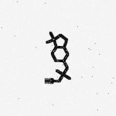 CC(C)(CO)CC1CCC2C(CCC2(C)C)C1